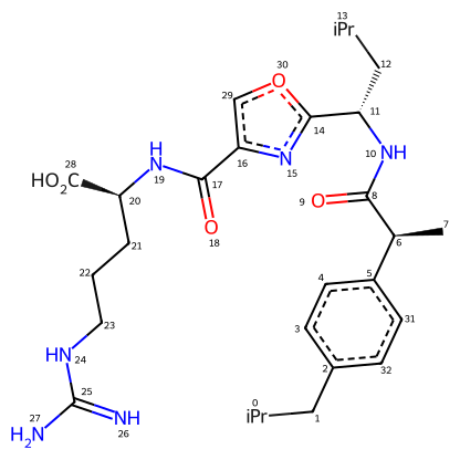 CC(C)Cc1ccc([C@H](C)C(=O)N[C@@H](CC(C)C)c2nc(C(=O)N[C@@H](CCCNC(=N)N)C(=O)O)co2)cc1